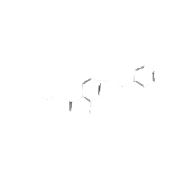 CCOC(=O)c1ccc(OCc2ccccc2)cc1Cl